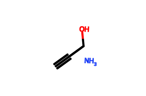 C#CCO.N